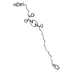 CCCCCCCCCCCCCCC(=O)C(=O)N1CCN(C(=O)CCCCCCCCCCCCCCCn2cccc2)CC1